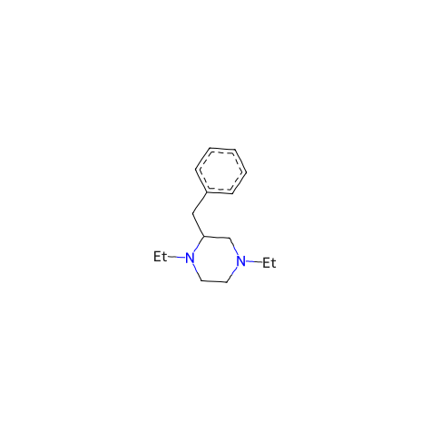 CCN1CCN(CC)C(Cc2ccccc2)C1